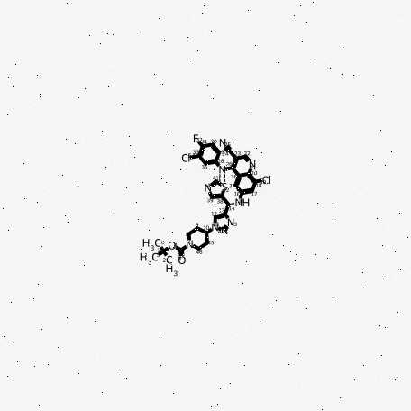 CC(C)(C)OC(=O)N1CCC(n2cc([C@@H](Nc3cc(Cl)c4ncc(C#N)c(Nc5ccc(F)c(Cl)c5)c4c3)c3cncs3)nn2)CC1